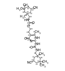 Cc1[nH]c(NC(=O)NCC2(C)CC(C#N)CC(C)(C)C2)nc(=O)c1CCOC(=O)NCC1(C)CC(C#N)CC(C)(C)C1